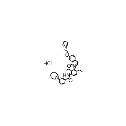 CCc1ccc(NC(=O)c2cccc(N3CCCCCC3)c2)c(CC)c1-n1ccc2ccc(OCCN3CCCC3)cc2c1=O.Cl